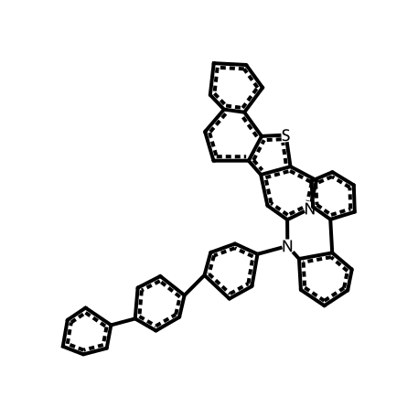 c1ccc(-c2ccc(-c3ccc(N(c4cc5c(cn4)sc4c6ccccc6ccc54)c4ccccc4-c4ccccc4)cc3)cc2)cc1